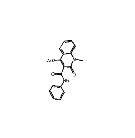 CC(=O)Oc1c(C(=O)Nc2ccccc2)c(=O)n(C)c2ccccc12